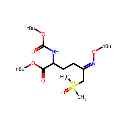 CCCCO/N=C(\CCC(NC(=O)OC(C)(C)C)C(=O)OCCCC)C[SH](C)(C)=O